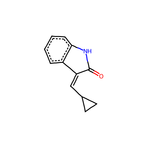 O=C1Nc2ccccc2/C1=C/C1CC1